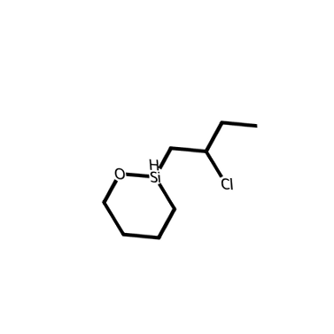 CCC(Cl)C[SiH]1CCCCO1